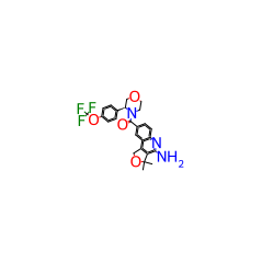 CC1(C)OCc2c1c(N)nc1ccc(C(=O)N3CCOC[C@@H]3c3ccc(OC(F)(F)F)cc3)cc21